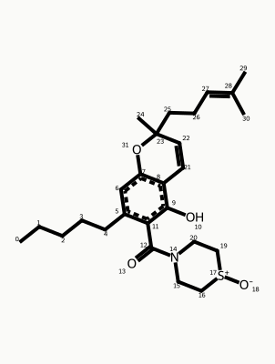 CCCCCc1cc2c(c(O)c1C(=O)N1CC[S+]([O-])CC1)C=CC(C)(CCC=C(C)C)O2